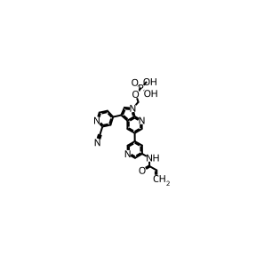 C=CC(=O)Nc1cncc(-c2cnc3c(c2)c(-c2ccnc(C#N)c2)cn3COP(=O)(O)O)c1